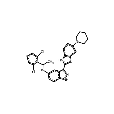 CC(Nc1ccc2[nH]nc(-c3nc4cc(N5CCCCC5)ccc4[nH]3)c2c1)c1c(Cl)cncc1Cl